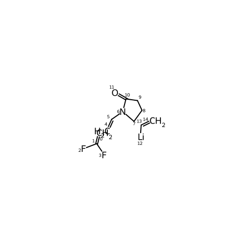 C=C(F)F.C=CN1CCCC1=O.[Li][CH]=C